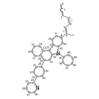 C=C=C/C=C\C=C(/C)c1ccc2c3c4ccccc4c(-c4ccc(-c5ccccn5)cc4)cc3n(-c3ccccc3)c2c1